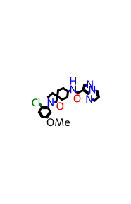 COc1ccc(Cl)c(N2CCC3(CCC(NC(=O)c4cnn5cccnc45)CC3)C2=O)c1